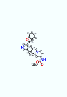 CC(C)(C)OC(=O)NC1CCN(Cc2cc3c(-c4cc5ccccc5o4)cncc3cc2[N+](=O)[O-])CC1